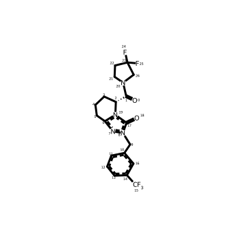 O=C([C@H]1CCCc2nn(Cc3cccc(C(F)(F)F)c3)c(=O)n21)N1CCC(F)(F)C1